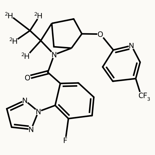 [2H]C([2H])([2H])C1([2H])C2CC(Oc3ccc(C(F)(F)F)cn3)C(C2)N1C(=O)c1cccc(F)c1-n1nccn1